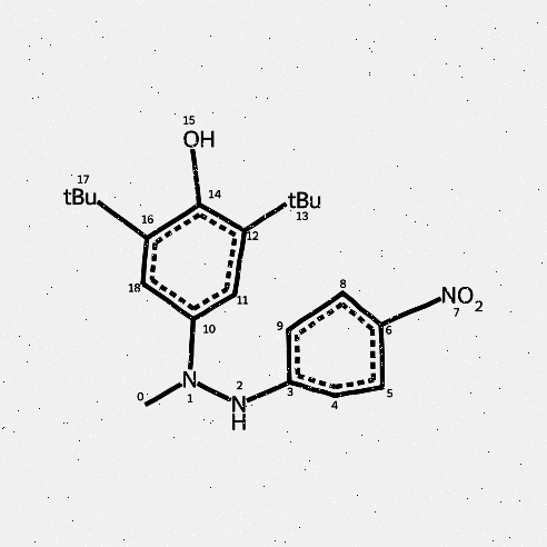 CN(Nc1ccc([N+](=O)[O-])cc1)c1cc(C(C)(C)C)c(O)c(C(C)(C)C)c1